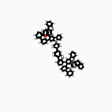 c1ccc(-c2cccc(-n3c4ccccc4c4cccc(-c5cc6c(cc5-c5cccc7c5oc5cc(-c8ccc(-n9c%10ccccc%10c%10cc(-c%11ccccc%11)c(-c%11cccc%12c%13ccccc%13n(-c%13ccc%14sc%15ccccc%15c%14c%13)c%11%12)cc%109)cc8)ccc57)c5ccccc5n6-c5ccccc5)c43)n2)cc1